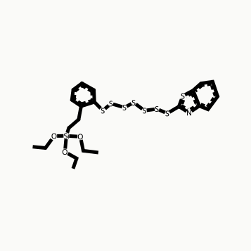 CCO[Si](CCc1ccccc1SSSSSSSc1nc2ccccc2s1)(OCC)OCC